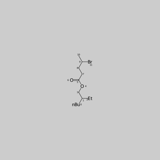 CCCCC(CC)COC(=O)CCC(C)Br